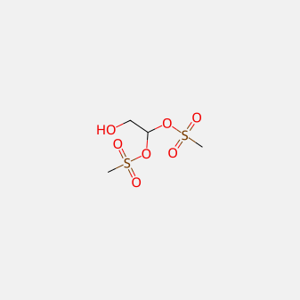 CS(=O)(=O)OC(CO)OS(C)(=O)=O